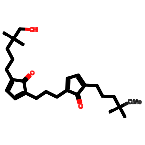 COC(C)(C)CCCC1=CC=C(CCCC2=CC=C(CCCC(C)(C)CO)C2=O)C1=O